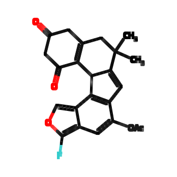 CC(=O)Oc1cc2c(F)occ2c2c1C=C1C2C2=C(CC(=O)CC2=O)CC1(C)C